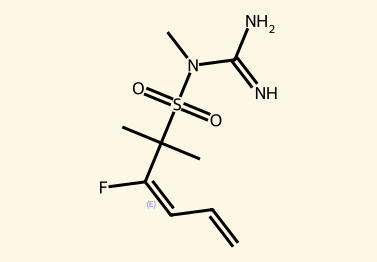 C=C/C=C(/F)C(C)(C)S(=O)(=O)N(C)C(=N)N